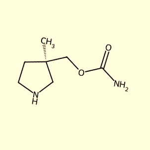 C[C@@]1(COC(N)=O)CCNC1